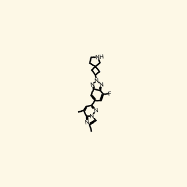 Cc1cn2nc(-c3cc(F)c4nn(C5CC6(CCNC6)C5)nc4c3)cc(C)c2n1